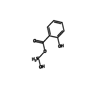 O=C(O[SiH2]O)c1ccccc1O